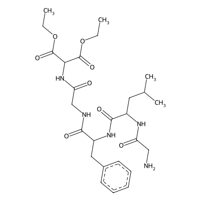 CCOC(=O)C(NC(=O)CNC(=O)C(Cc1ccccc1)NC(=O)C(CC(C)C)NC(=O)CN)C(=O)OCC